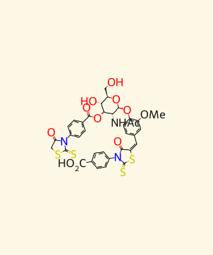 COc1cc(C=C2SC(=S)N(c3ccc(C(=O)O)cc3)C2=O)ccc1O[C@@H]1O[C@H](CO)[C@@H](O)[C@H](OC(=O)c2ccc(N3C(=O)CSC3=S)cc2)[C@H]1NC(C)=O